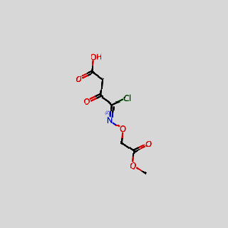 COC(=O)CO/N=C(\Cl)C(=O)CC(=O)O